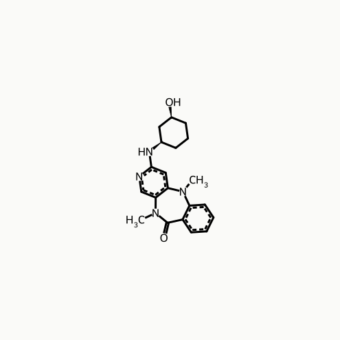 CN1C(=O)c2ccccc2N(C)c2cc(N[C@@H]3CCC[C@H](O)C3)ncc21